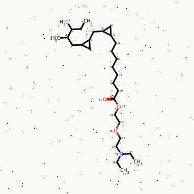 CCC(C)C(C)CC1CC1CC1CC1CCCCCCCC(=O)OCCOCCN(CC)CC